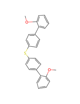 COc1ccccc1-c1ccc(Sc2ccc(-c3ccccc3OC)cc2)cc1